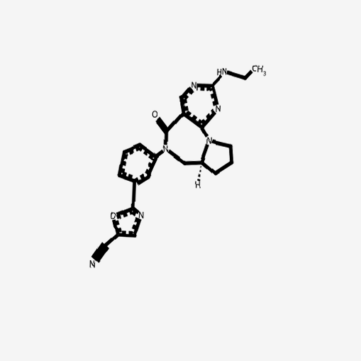 CCNc1ncc2c(n1)N1CCC[C@H]1CN(c1cccc(-c3ncc(C#N)o3)c1)C2=O